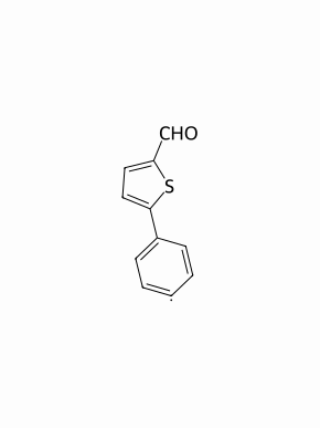 O=Cc1ccc(-c2cc[c]cc2)s1